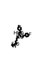 CN1CCC(C(=O)N[C@@H](CCCCCC(=O)c2nccs2)c2nc(-c3ccc(F)cc3)c[nH]2)CC1